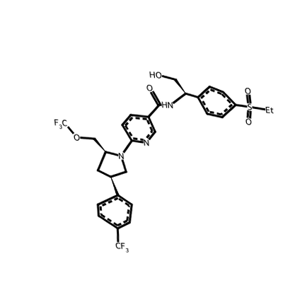 CCS(=O)(=O)c1ccc([C@H](CO)NC(=O)c2ccc(N3C[C@@H](c4ccc(C(F)(F)F)cc4)C[C@H]3COC(F)(F)F)nc2)cc1